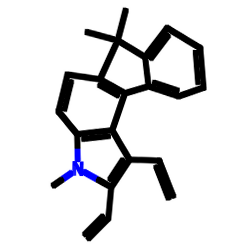 C=Cc1c(C=C)n(C)c2ccc3c(c12)-c1ccccc1C3(C)C